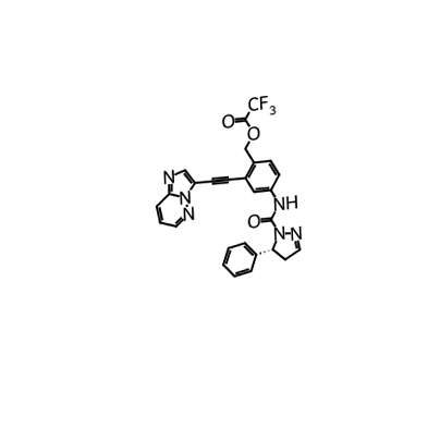 O=C(Nc1ccc(COC(=O)C(F)(F)F)c(C#Cc2cnc3cccnn23)c1)N1N=CC[C@@H]1c1ccccc1